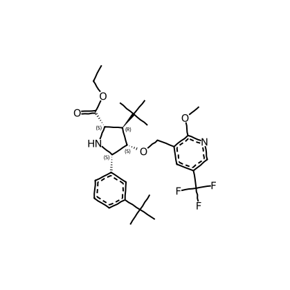 CCOC(=O)[C@H]1N[C@@H](c2cccc(C(C)(C)C)c2)[C@@H](OCc2cc(C(F)(F)F)cnc2OC)[C@@H]1C(C)(C)C